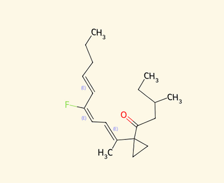 CCC/C=C/C(F)=C\C=C(/C)C1(C(=O)CC(C)CC)CC1